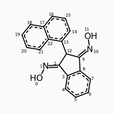 O/N=C1\c2ccccc2/C(=N/O)C1c1cccc2ccccc12